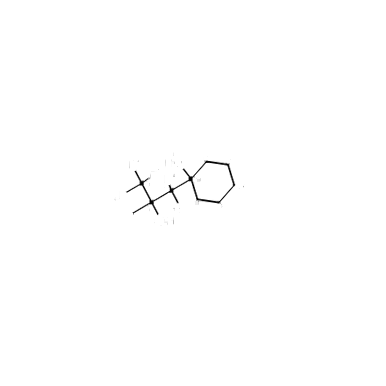 CC(O)(C(F)(F)F)C(F)(F)C1(O)CCCCC1